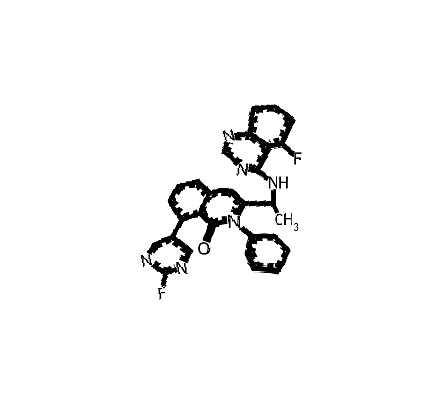 CC(Nc1ncnc2cccc(F)c12)c1cc2cccc(-c3cnc(F)nc3)c2c(=O)n1-c1ccccc1